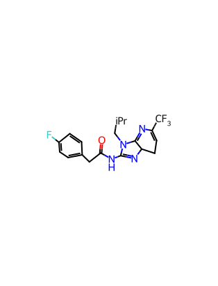 CC(C)CN1C(NC(=O)Cc2ccc(F)cc2)=NC2CC=C(C(F)(F)F)N=C21